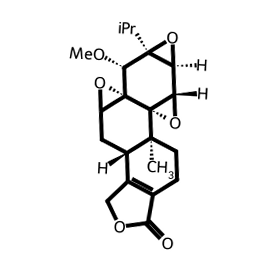 CO[C@@H]1[C@@]2(C(C)C)O[C@H]2[C@@H]2O[C@@]23[C@@]2(C)CCC4=C(COC4=O)[C@@H]2CC2O[C@]213